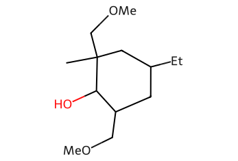 CCC1CC(COC)C(O)C(C)(COC)C1